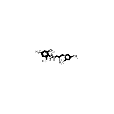 Cc1cc(C)c(S(=O)(=O)NC[C@@H](O)CN2CC(C)CC2C)c(C)c1